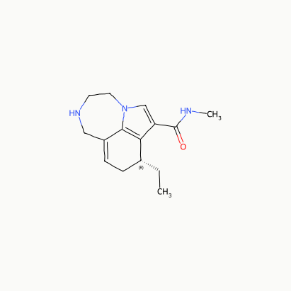 CC[C@@H]1CC=C2CNCCn3cc(C(=O)NC)c1c32